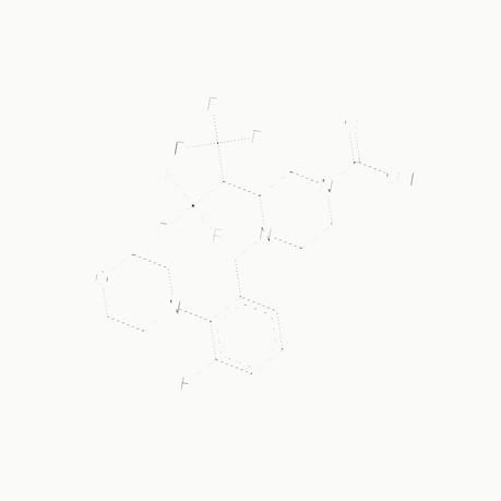 O=C(O)N1CCN(Cc2cccc(F)c2N2CCOCC2)C(C(C(F)(F)F)C(F)(F)F)C1